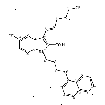 O=C(O)c1c(C=CCCCCl)c2cc(F)ccc2n1CCCOc1cccc2ccccc12